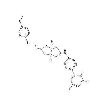 COc1ccc(OCCN2C[C@H]3C[C@H](Nc4ccc(-c5cc(F)cc(F)c5F)nn4)C[C@H]3C2)cc1